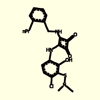 CCCc1ccccc1CNc1c(Nc2ccc(Cl)c(SN(C)C)c2O)c(=O)c1=O